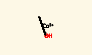 CCCCCCCCCCCCCO.[Co+3]